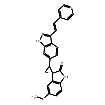 COc1ccc2c(c1)[C@]1(C[C@H]1c1ccc3c(C=Cc4ccncc4)n[nH]c3c1)C(=O)N2